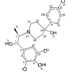 C[C@H](C(O)c1cc(Cl)c(O)c(Cl)c1)N1CCC(O)(c2ccc(Cl)cc2)CC1